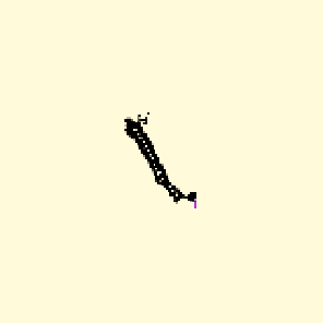 CC1C(C2CC2I)C2C1C1C2C2C1C1C2C2C1C1C2C2C1C1C2C2C1C1C2C2C1C1C2C2C1C1C2C2C1C1C(C)[C@H]21